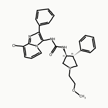 COCCN1C[C@@H](NC(=O)Nc2c(-c3ccccc3)nc3c(Cl)cccn23)[C@H](c2ccccc2)C1